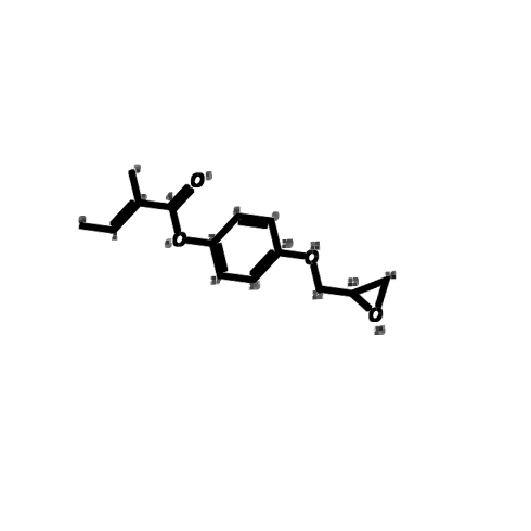 CC=C(C)C(=O)Oc1ccc(OCC2CO2)cc1